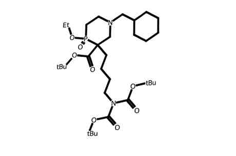 CCOP1(=O)CCN(CC2CCCCC2)CC1(CCCCN(C(=O)OC(C)(C)C)C(=O)OC(C)(C)C)C(=O)OC(C)(C)C